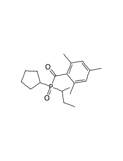 CCC(C)P(=O)(C(=O)c1c(C)cc(C)cc1C)C1CCCC1